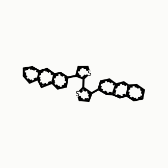 c1ccc2cc3cc(-c4ccsc4-c4sccc4-c4ccc5cc6ccccc6cc5c4)ccc3cc2c1